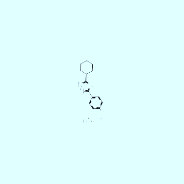 CCCCCCCCCOc1ccc(-c2nnc(C3CCCCC3)s2)cc1